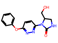 O=C1NCC(CO)N1c1ccc(Oc2ccccc2)nn1